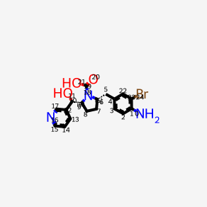 Nc1ccc(C[C@@H]2CC[C@H](C(O)c3cccnc3)N2C(=O)O)cc1Br